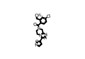 C=Cc1cc(Cl)ccc1C(=O)N1CCn2c(nnc2-c2ccno2)C1